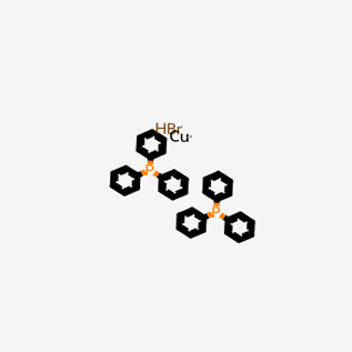 Br.[Cu].c1ccc(P(c2ccccc2)c2ccccc2)cc1.c1ccc(P(c2ccccc2)c2ccccc2)cc1